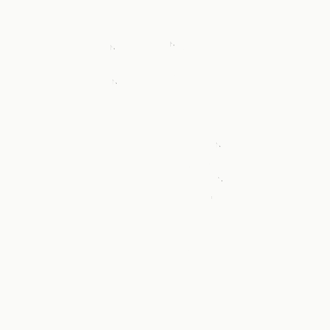 NCc1c(Oc2ccc(NC(=O)NC(=O)Cc3ccc(F)cc3)cc2F)ccnc1N